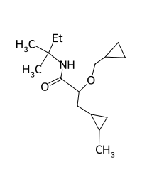 CCC(C)(C)NC(=O)C(CC1CC1C)OCC1CC1